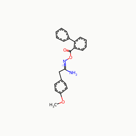 COc1ccc(C/C(N)=N/OC(=O)c2ccccc2-c2ccccc2)cc1